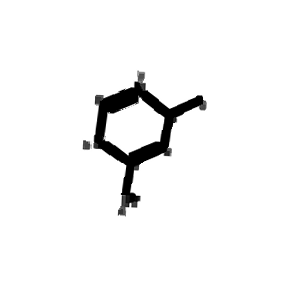 CC1C=C(C(C)C)SC=N1